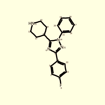 Fc1ccc(-c2nc(C3CCNCC3)n(-c3ccccc3)n2)cc1